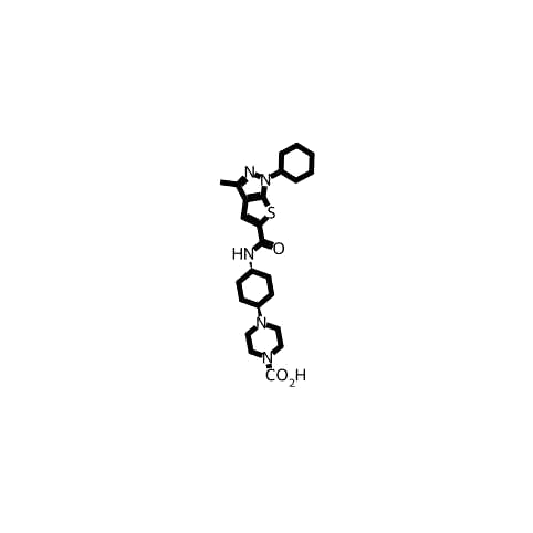 Cc1nn(C2CCCCC2)c2sc(C(=O)N[C@H]3CC[C@H](N4CCN(C(=O)O)CC4)CC3)cc12